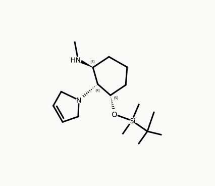 CN[C@H]1CCC[C@H](O[Si](C)(C)C(C)(C)C)[C@@H]1N1CC=CC1